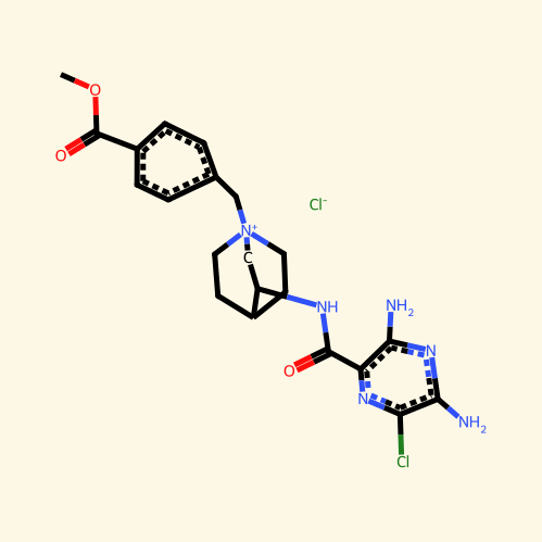 COC(=O)c1ccc(C[N+]23CCC(CC2)C(NC(=O)c2nc(Cl)c(N)nc2N)C3)cc1.[Cl-]